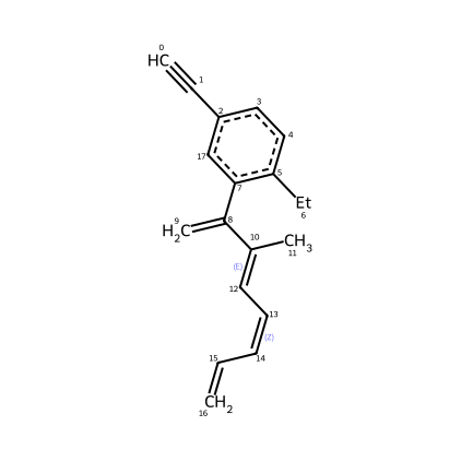 C#Cc1ccc(CC)c(C(=C)/C(C)=C/C=C\C=C)c1